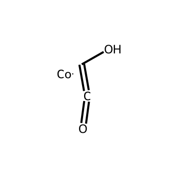 O=C=CO.[Co]